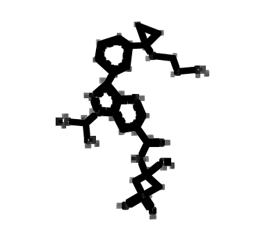 COCOC1(c2cccc(-c3nn(C(C)C)c4cc(C(=O)NC5(C)CS(=O)(=O)C5)cnc34)c2)CC1